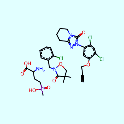 C#CCOc1cc(-n2nc3n(c2=O)CCCC3)c(Cl)cc1Cl.CC1(C)CON(Cc2ccccc2Cl)C1=O.CP(=O)(O)CCC(N)C(=O)O